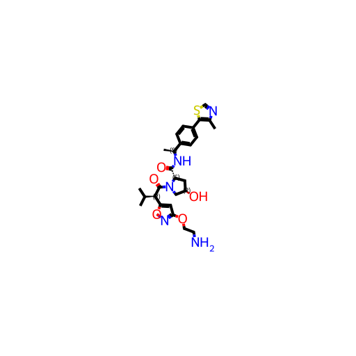 Cc1ncsc1-c1ccc([C@H](C)NC(=O)[C@@H]2C[C@@H](O)CN2C(=O)[C@@H](c2cc(OCCN)no2)C(C)C)cc1